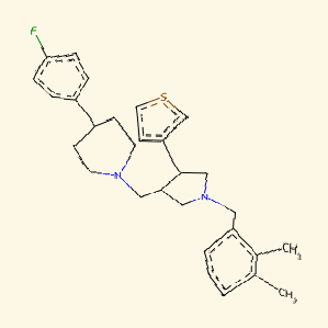 Cc1cccc(CN2CC(CN3CCC(c4ccc(F)cc4)CC3)C(c3ccsc3)C2)c1C